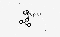 O=C(OCC(F)(F)S(=O)(=O)O)C12CC3CC(CC(C3)C1)C2.c1ccc(SC(c2ccccc2)c2ccccc2)cc1